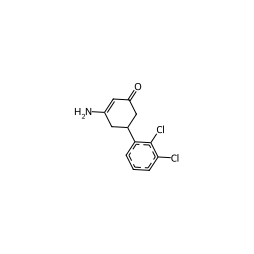 NC1=CC(=O)CC(c2cccc(Cl)c2Cl)C1